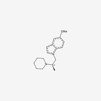 COc1ccc2c(ccn2C[C@@H](C)N2CCCCC2)c1